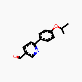 CC(C)Oc1ccc(-c2ccc(C=O)cn2)cc1